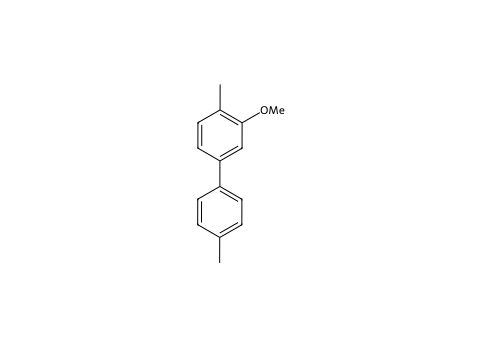 COc1cc(-c2ccc(C)cc2)ccc1C